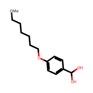 COCCCCCCOc1ccc(C(O)O)cc1